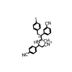 C[C@H](NC(CC#N)c1ccc(C#N)cc1)[C@@H](Cc1ccc(I)cc1)c1cccc(C#N)c1